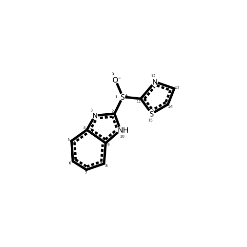 [O-][S+](c1nc2ccccc2[nH]1)c1nccs1